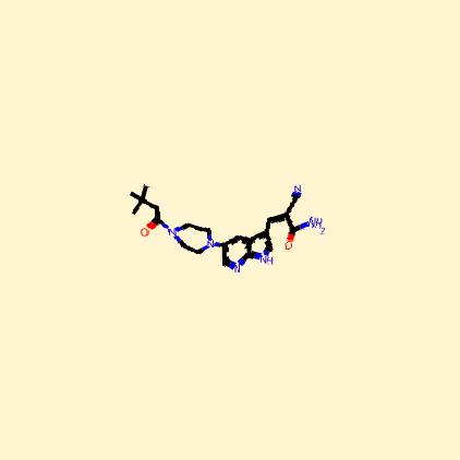 CC(C)(C)CC(=O)N1CCN(c2cnc3[nH]cc(C=C(C#N)C(N)=O)c3c2)CC1